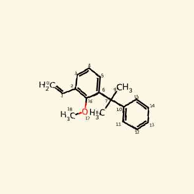 C=Cc1cccc(C(C)(C)c2ccccc2)c1OC